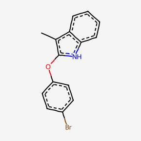 Cc1c(Oc2ccc(Br)cc2)[nH]c2ccccc12